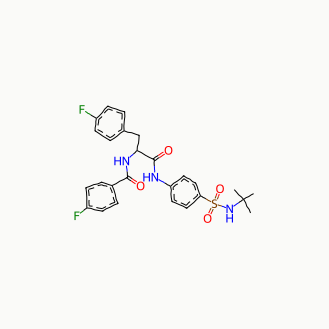 CC(C)(C)NS(=O)(=O)c1ccc(NC(=O)C(Cc2ccc(F)cc2)NC(=O)c2ccc(F)cc2)cc1